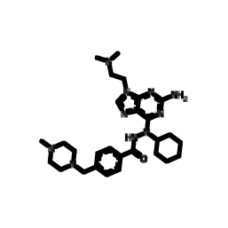 CN(C)CCn1cnc2c(N(NC(=O)c3ccc(CN4CCN(C)CC4)cc3)C3CCCCC3)nc(N)nc21